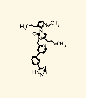 CCCCc1cn(-c2c(CCC)ccn2CC)c(=O)n1Cc1cc(-c2cccc(-c3nnn[nH]3)c2)ccn1